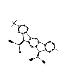 N#CC(C#N)=C1c2cc(F)ccc2-c2cc3c(cc21)C(=C(C#N)C#N)c1cc(C(F)(F)F)ccc1-3